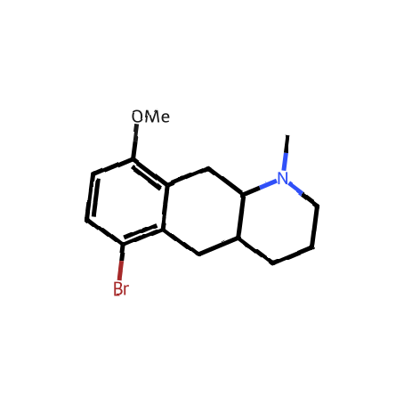 COc1ccc(Br)c2c1CC1C(CCCN1C)C2